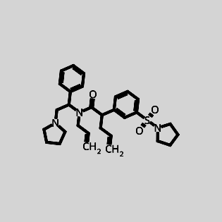 C=CCC(C(=O)N(CC=C)C(CN1CCCC1)c1ccccc1)c1cccc(S(=O)(=O)N2CCCC2)c1